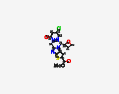 COC(=O)c1cc2c(nc(Cn3ncc(Cl)cc3=O)n2CC2CCO2)s1